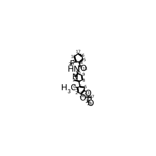 Cc1cc2c(cc1-c1ccc(NC(=O)c3ccccc3F)nc1)OC1(COC1)O2